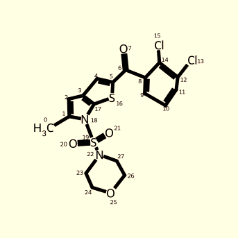 Cc1cc2cc(C(=O)c3cccc(Cl)c3Cl)sc2n1S(=O)(=O)N1CCOCC1